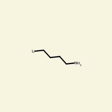 [Li][CH2]CCCN